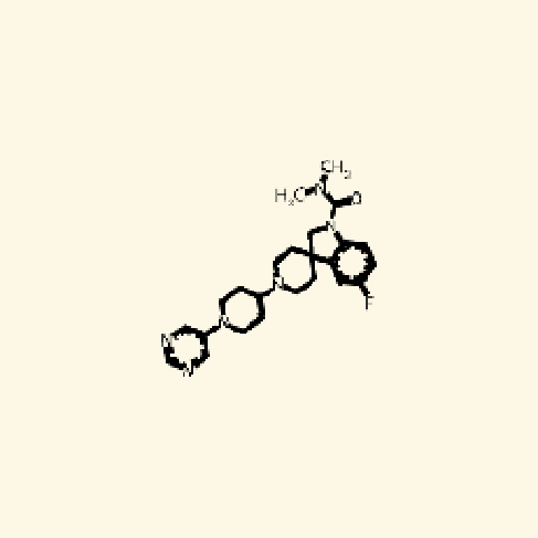 CN(C)C(=O)N1CC2(CCN(C3CCN(c4cncnc4)CC3)CC2)c2cc(F)ccc21